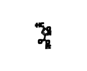 [CH]c1cc(C(=O)OCC)no1